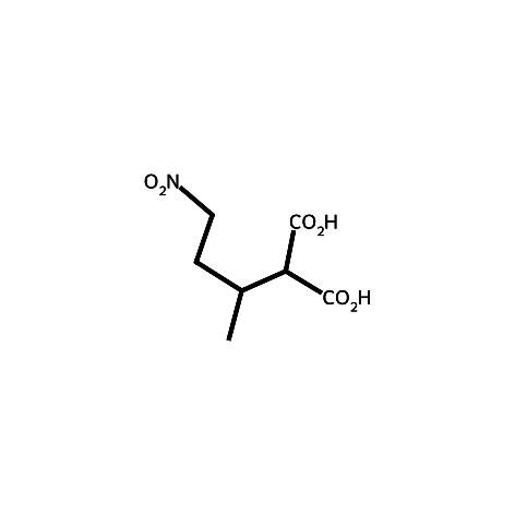 CC(CC[N+](=O)[O-])C(C(=O)O)C(=O)O